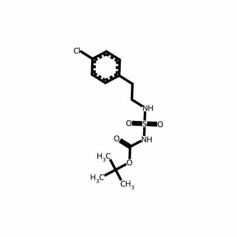 CC(C)(C)OC(=O)NS(=O)(=O)NCCc1ccc(Cl)cc1